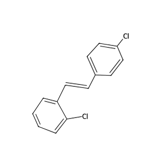 Clc1ccc(/C=C/c2ccccc2Cl)cc1